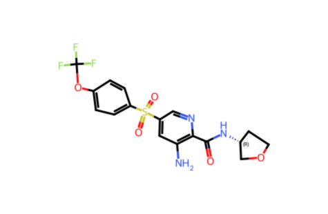 Nc1cc(S(=O)(=O)c2ccc(OC(F)(F)F)cc2)cnc1C(=O)N[C@@H]1CCOC1